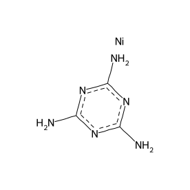 Nc1nc(N)nc(N)n1.[Ni]